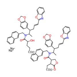 CC(C(C/C=C/c1nc2ccccc2o1)c1ccc2c(c1)OCO2)N(Cc1ccc2ccccc2c1)C(=O)C(O)CCC(=O)[O-].CC(C(C/C=C/c1nc2ccccc2o1)c1ccc2c(c1)OCO2)N(Cc1ccc2ccccc2c1)C(=O)C1COC(=O)C1CC(=O)[O-].[Na+].[Na+]